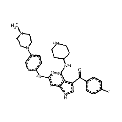 CN1CCN(c2ccc(Nc3nc(NC4CCNCC4)c4c(C(=O)c5ccc(F)cc5)c[nH]c4n3)cc2)CC1